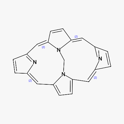 C1=C/C2=C/c3ccc4n3Cn3/c(cc/c3=C/C3=NC(=C\4)/C=C3)=C\C1=N2